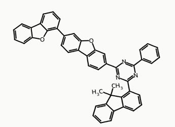 CC1(C)c2ccccc2-c2cccc(-c3nc(-c4ccccc4)nc(-c4ccc5c(c4)oc4cc(-c6cccc7c6oc6ccccc67)ccc45)n3)c21